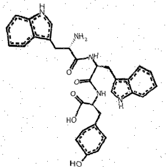 N[C@@H](Cc1c[nH]c2ccccc12)C(=O)N[C@@H](Cc1c[nH]c2ccccc12)C(=O)N[C@@H](Cc1ccc(O)cc1)C(=O)O